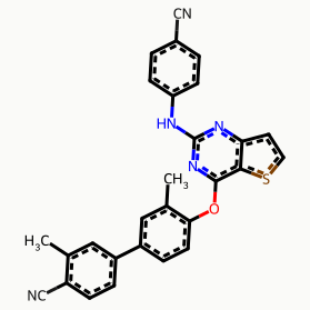 Cc1cc(-c2ccc(Oc3nc(Nc4ccc(C#N)cc4)nc4ccsc34)c(C)c2)ccc1C#N